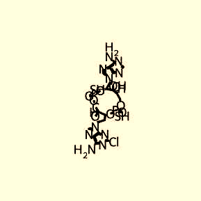 Nc1ncnc2c1ncn2[C@@H]1O[C@@H]2CO[P@@](=O)(S)OC3C[C@H](n4cnc5c(N)nc(Cl)nc54)O[C@@H]3CO[P@@](=O)(S)OC1C2O